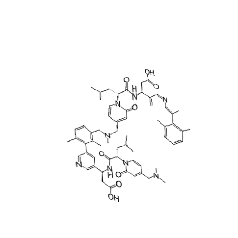 C=C(/C=N\C=C(/C)c1c(C)cccc1C)[C@H](CC(=O)O)NC(=O)[C@@H](CC(C)C)n1ccc(CN(C)Cc2ccc(C)c(-c3cncc([C@H](CC(=O)O)NC(=O)[C@H](CC(C)C)n4ccc(CN(C)C)cc4=O)c3)c2C)cc1=O